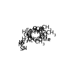 CC[C@H]1OC(=O)[C@H](C)C(=O)C[C@@H](O[C@@H]2OC(C)CC(N(C)C)C2O)[C@@](C)(OC)C[C@@H](C)CN(C(C)=O)[C@H](C)[C@H]2N(CCCCn3cc(-c4nccs4)nn3)C(=O)O[C@]12C